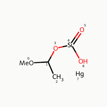 COC(C)O[Si](=O)O.[Hg]